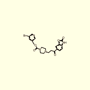 O=C(CCN1CCN(C(=O)OCc2cncc(Br)c2)CC1)c1ccc2[nH]c(=O)oc2c1